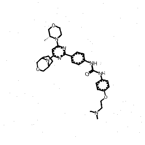 C[C@@H]1COCCN1c1cc(N2C3CCC2COC3)nc(-c2ccc(NC(=O)Nc3ccc(OCCN(C)C)cc3)cc2)n1